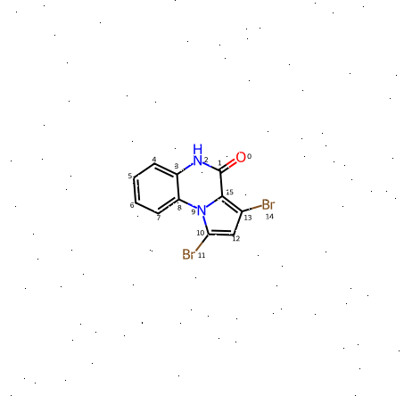 O=c1[nH]c2ccccc2n2c(Br)cc(Br)c12